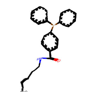 O=[C]CCCCNC(=O)c1ccc([S+](c2ccccc2)c2ccccc2)cc1